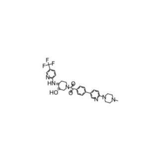 CN1CCN(c2ccc(-c3ccc(S(=O)(=O)N4CC[C@@H](Nc5ccc(C(F)(F)F)cn5)[C@@H](O)C4)cc3)cn2)CC1